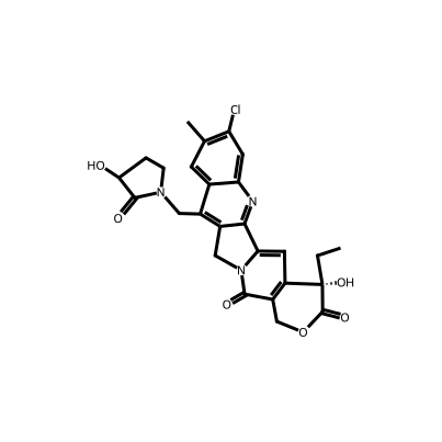 CC[C@@]1(O)C(=O)OCc2c1cc1n(c2=O)Cc2c-1nc1cc(Cl)c(C)cc1c2CN1CCC(O)C1=O